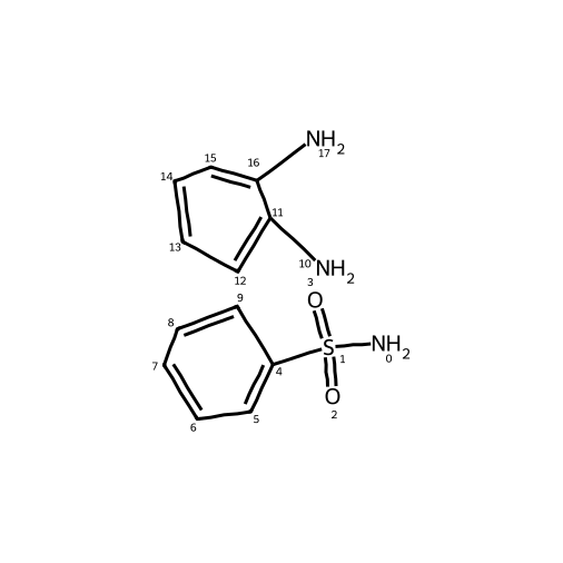 NS(=O)(=O)c1ccccc1.Nc1ccccc1N